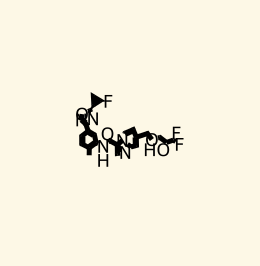 Cc1ccc(-c2noc([C@H]3C[C@@H]3F)n2)cc1NC(=O)c1cnc2cc(COCC(O)C(F)F)ccn12